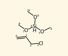 C=CCCl.CO[SiH](OC)OC